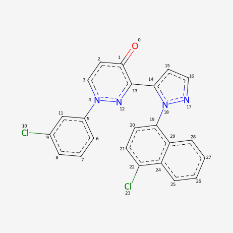 O=c1ccn(-c2cccc(Cl)c2)nc1-c1ccnn1-c1ccc(Cl)c2ccccc12